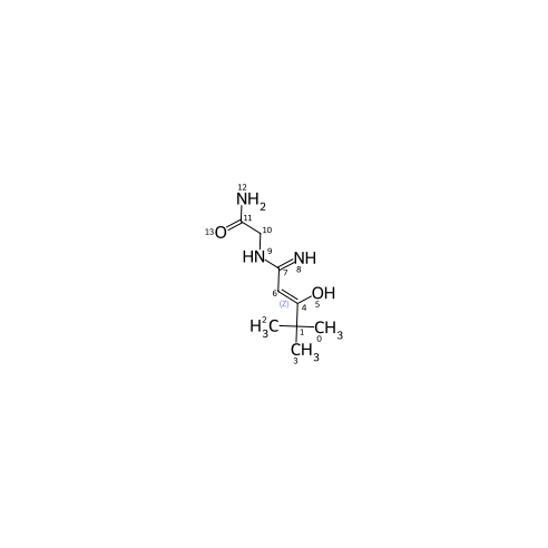 CC(C)(C)/C(O)=C/C(=N)NCC(N)=O